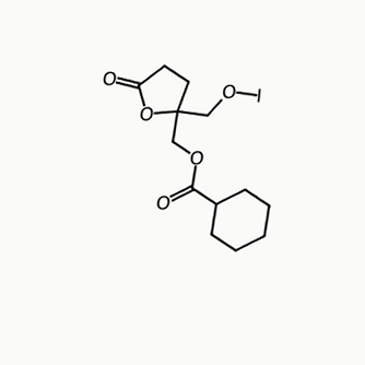 O=C1CCC(COI)(COC(=O)C2CCCCC2)O1